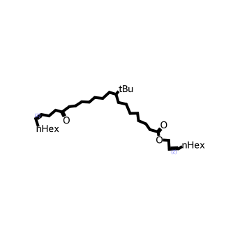 CCCCCC/C=C\CCC(=O)CCCCCCCC(CCCCCCCC(=O)OC/C=C\CCCCCC)C(C)(C)C